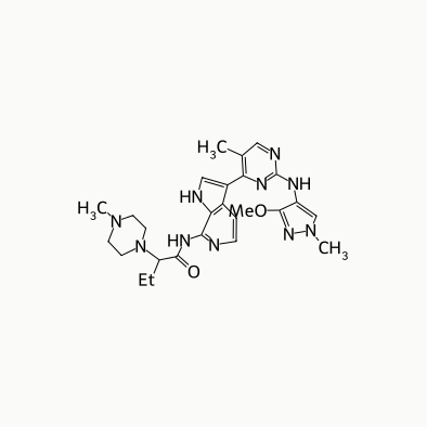 CCC(C(=O)Nc1nccc2c(-c3nc(Nc4cn(C)nc4OC)ncc3C)c[nH]c12)N1CCN(C)CC1